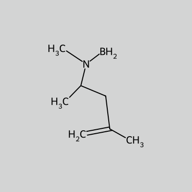 BN(C)C(C)CC(=C)C